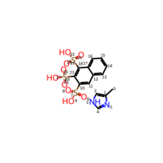 Cc1c[nH]cn1.O=S(=O)(O)c1cc2ccccc2c(S(=O)(=O)O)c1S(=O)(=O)O